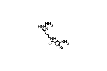 Bc1cc(C(=O)NCCCc2c[nH]c(N)n2)[nH]c1Br